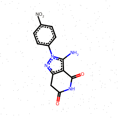 Nc1c2c(nn1-c1ccc([N+](=O)[O-])cc1)CC(=O)NC2=O